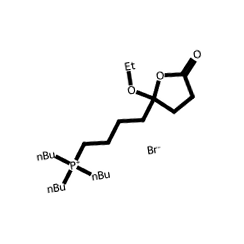 CCCC[P+](CCCC)(CCCC)CCCCC1(OCC)CCC(=O)O1.[Br-]